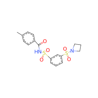 Cc1ccc(C(=O)NS(=O)(=O)c2cccc(S(=O)(=O)N3CCC3)c2)cc1